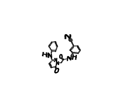 N#Cc1cccc(NC(=O)Cn2nc(Nc3ccccc3)ccc2=O)c1